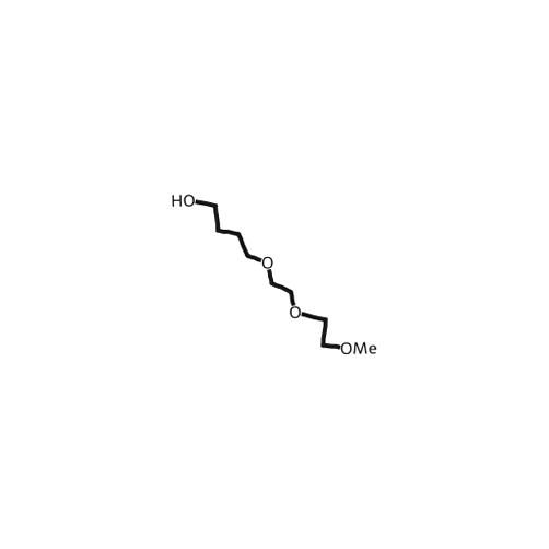 COCCOCCOCCCCO